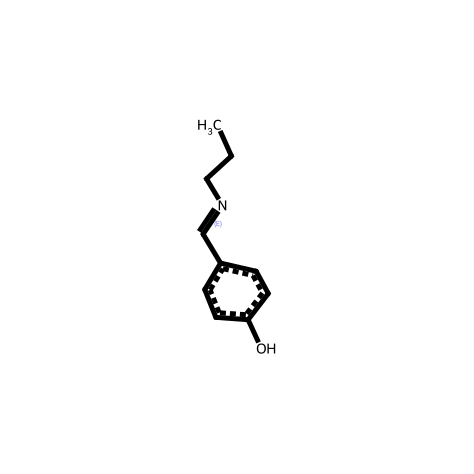 CCC/N=C/c1ccc(O)cc1